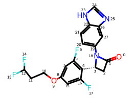 O=C1C[C@H](c2c(F)cc(OCCC(F)F)cc2F)N1c1ccc2[nH]cnc2c1